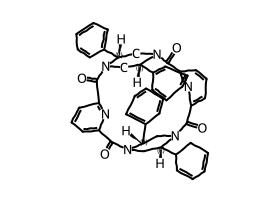 O=C1c2cccc(n2)C(=O)N2C[C@@H](C3C=CC=CC3)N(C[C@H]2c2ccccc2)C(=O)c2cccc(n2)C(=O)N2C[C@@H](c3ccccc3)N1C[C@H]2c1ccccc1